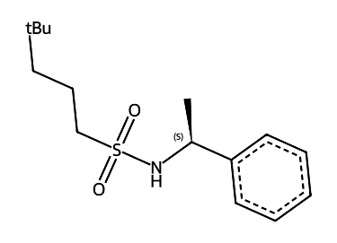 C[C@H](NS(=O)(=O)CCCC(C)(C)C)c1ccccc1